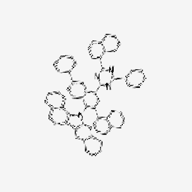 c1ccc(-c2ccc3c(-n4c5cc6ccccc6cc5c5ccc6ccccc6c54)c(-c4cccc5ccccc45)cc(-c4nc(-c5ccccc5)nc(-c5cccc6ccccc56)n4)c3c2)cc1